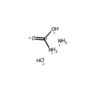 Cl.N.NC(=O)O